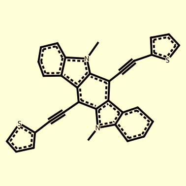 Cn1c2ccccc2c2c(C#Cc3cccs3)c3c(c(C#Cc4cccs4)c21)c1ccccc1n3C